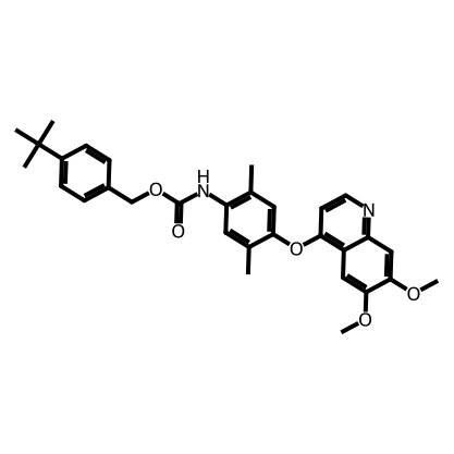 COc1cc2nccc(Oc3cc(C)c(NC(=O)OCc4ccc(C(C)(C)C)cc4)cc3C)c2cc1OC